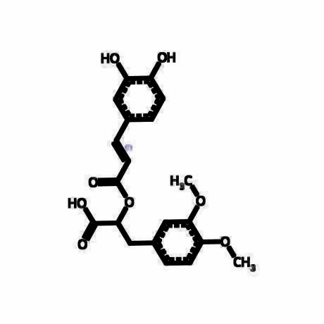 COc1ccc(CC(OC(=O)/C=C/c2ccc(O)c(O)c2)C(=O)O)cc1OC